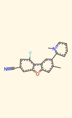 Cc1cc2oc3cc(C#N)cc(F)c3c2cc1-c1cccc[n+]1C